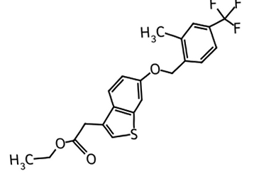 CCOC(=O)Cc1csc2cc(OCc3ccc(C(F)(F)F)cc3C)ccc12